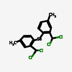 Cc1ccc([Se]c2ccc(C)cc2C(Cl)Cl)c(C(Cl)Cl)c1